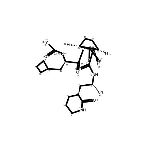 N#C[C@H](C[C@@H]1CCCNC1=O)NC(=O)[C@H]1[C@@H]2CC[C@@H](CC2(F)F)N1C(=O)[C@@H](CC1CCC1)NC(=O)C(F)(F)F